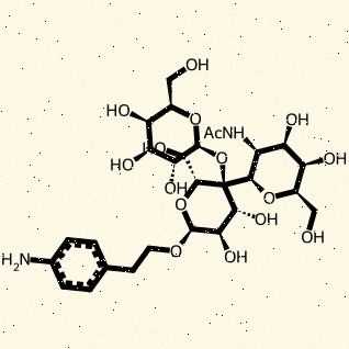 CC(=O)N[C@H]1[C@@H](O)[C@@H](O)[C@@H](CO)O[C@H]1[C@]1(O[C@@H]2O[C@H](CO)[C@H](O)[C@H](O)[C@H]2O)[C@H](O)[C@@H](O)[C@@H](OCCc2ccc(N)cc2)O[C@@H]1CO